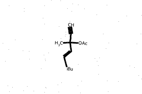 C#CC(C)(C=CC(C)CC)OC(C)=O